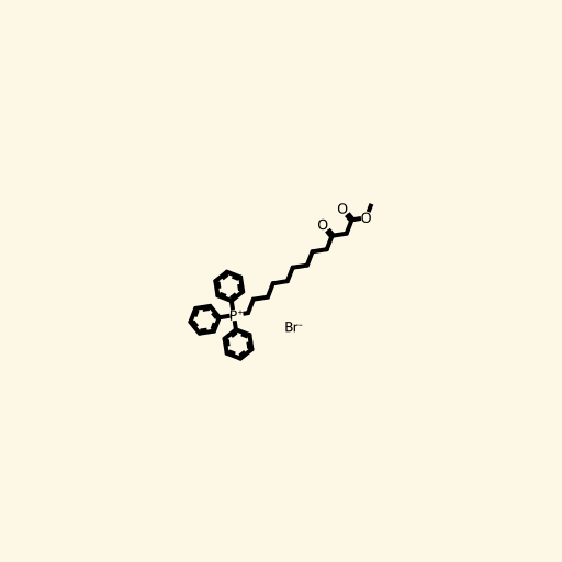 COC(=O)CC(=O)CCCCCCCCC[P+](c1ccccc1)(c1ccccc1)c1ccccc1.[Br-]